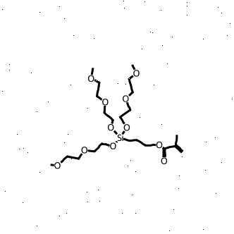 C=C(C)C(=O)OCCC[Si](OCCOCCOC)(OCCOCCOC)OCCOCCOC